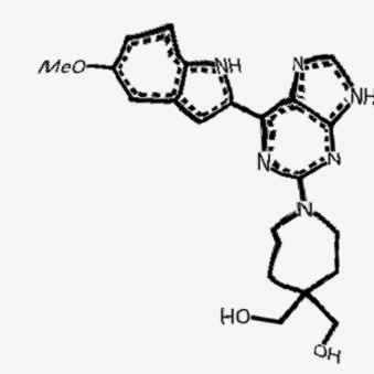 COc1ccc2[nH]c(-c3nc(N4CCC(CO)(CO)CC4)nc4[nH]cnc34)cc2c1